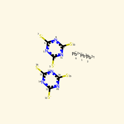 [Pb+2].[Pb+2].[Pb+2].[S-]c1nc([S-])nc([S-])n1.[S-]c1nc([S-])nc([S-])n1